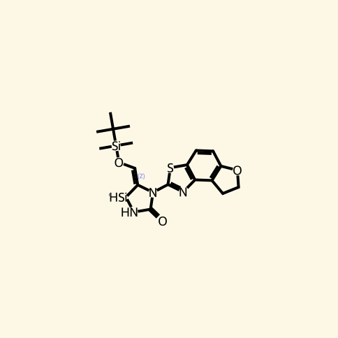 C[SiH]1NC(=O)N(c2nc3c4c(ccc3s2)OCC4)/C1=C/O[Si](C)(C)C(C)(C)C